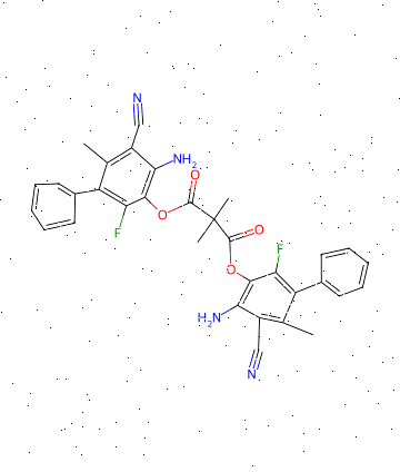 Cc1c(C#N)c(N)c(OC(=O)C(C)(C)C(=O)Oc2c(N)c(C#N)c(C)c(-c3ccccc3)c2F)c(F)c1-c1ccccc1